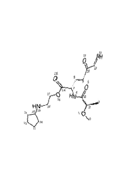 CO[C@H](C)C(=O)N[C@@H](CCC(=O)C=N)C(=O)OCCNC1CCCC1